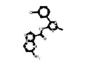 Cc1nc(-c2cccc(Cl)c2)c(NC(=O)c2cnn3ccc(N)nc23)s1